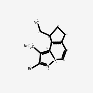 CCOC(=O)c1c(CC)nn2ccc3c(c12)C(CC#N)CC3